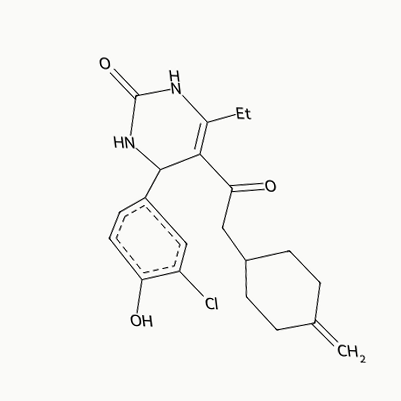 C=C1CCC(CC(=O)C2=C(CC)NC(=O)NC2c2ccc(O)c(Cl)c2)CC1